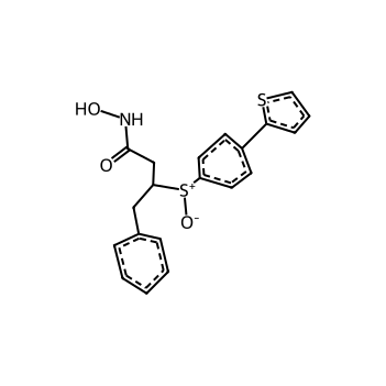 O=C(CC(Cc1ccccc1)[S+]([O-])c1ccc(-c2cccs2)cc1)NO